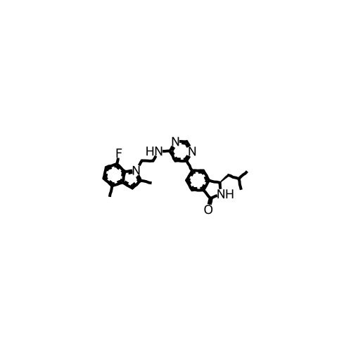 Cc1ccc(F)c2c1cc(C)n2CCNc1cc(-c2ccc3c(c2)[C@@H](CC(C)C)NC3=O)ncn1